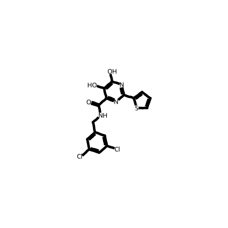 O=C(NCc1cc(Cl)cc(Cl)c1)c1nc(-c2cccs2)nc(O)c1O